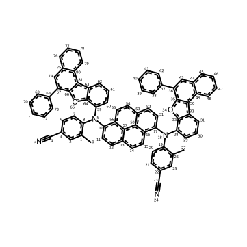 Cc1cc(C#N)ccc1N(c1ccc2ccc3c(N(c4ccc(C#N)cc4C)c4cccc5c4oc4c(-c6ccccc6)cc6ccccc6c45)ccc4ccc1c2c43)c1cccc2c1oc1c(-c3ccccc3)cc3ccccc3c12